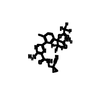 Cc1ccc(C(OC(=O)C(F)(F)F)(C(N)=O)C(F)(F)F)cc1-c1cnc(N)c(C(=O)NCC2(C#N)CC2)n1